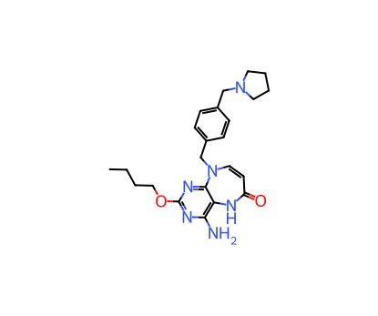 CCCCOc1nc(N)c2c(n1)N(Cc1ccc(CN3CCCC3)cc1)C=CC(=O)N2